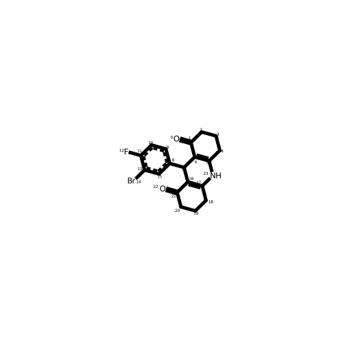 O=C1CCCC2=C1C(c1ccc(F)c(Br)c1)C1=C(CCCC1=O)N2